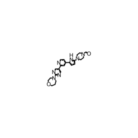 O=CN1CCN(c2ccc(-c3ccnc(-c4cnc(N5CCCOCC5)nc4)c3)[nH]2)CC1